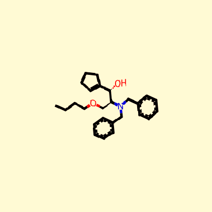 CCCCOC[C@@H]([C@@H](O)C1=CCCC1)N(Cc1ccccc1)Cc1ccccc1